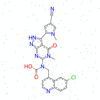 Cn1cc(C#N)cc1-c1[nH]nc2nc(N(Cc3ccnc4ccc(Cl)cc34)C(=O)O)n(C)c(=O)c12